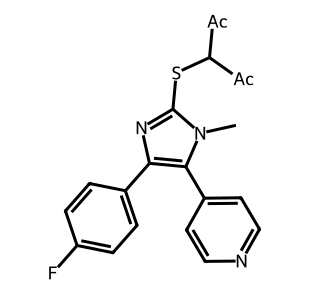 CC(=O)C(Sc1nc(-c2ccc(F)cc2)c(-c2ccncc2)n1C)C(C)=O